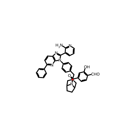 Nc1ncccc1-c1nc2ccc(-c3ccccc3)nc2n1-c1ccc(CN2CC3CCC(C2)N3C(=O)c2ccc(C=O)c(O)c2)cc1